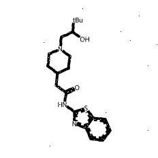 CC(C)(C)C(O)CN1CCC(CC(=O)Nc2nc3ccccc3s2)CC1